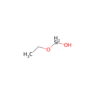 CCO[SiH2]O